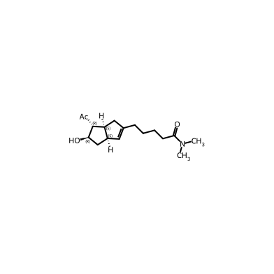 CC(=O)[C@@H]1[C@H]2CC(CCCCC(=O)N(C)C)=C[C@H]2C[C@H]1O